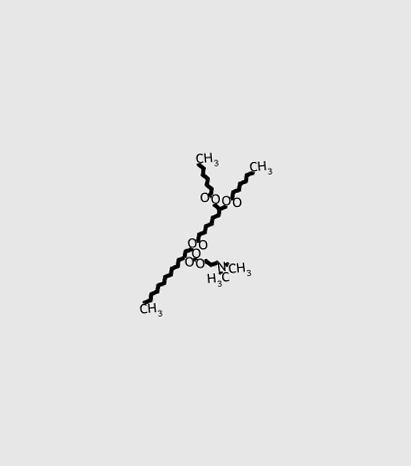 CCCCCCCCCCCCC(CCOC(=O)CCCCCCC(COC(=O)CCCCCCC)COC(=O)CCCCCCC)OC(=O)OCCCN(CC)CC